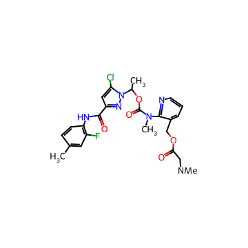 CNCC(=O)OCc1cccnc1N(C)C(=O)OC(C)n1nc(C(=O)Nc2ccc(C)cc2F)cc1Cl